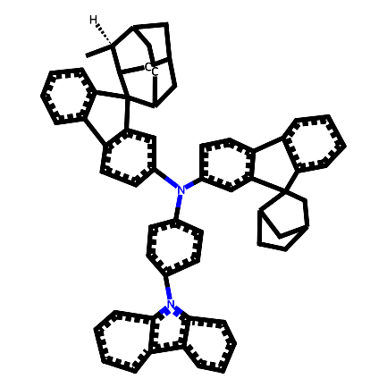 C[C@H]1C2CCC3CC(C2)CC1C31c2ccccc2-c2ccc(N(c3ccc(-n4c5ccccc5c5ccccc54)cc3)c3ccc4c(c3)C3(CC5CCC3C5)c3ccccc3-4)cc21